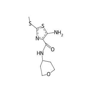 CSc1nc(C(=O)NC2CCOCC2)c(N)s1